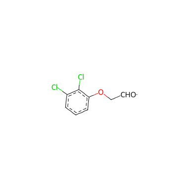 O=[C]COc1cccc(Cl)c1Cl